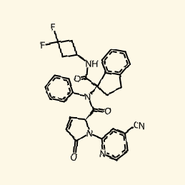 N#Cc1ccnc(N2C(=O)C=C[C@H]2C(=O)N(c2ccccc2)[C@]2(C(=O)NC3CC(F)(F)C3)CCc3ccccc32)c1